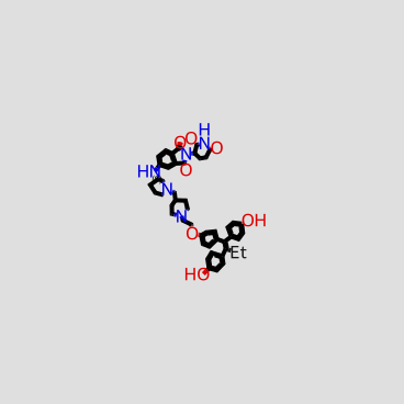 CCC(=C(c1ccc(O)cc1)c1ccc(OCCN2CCC(CN3CCC[C@H](Nc4ccc5c(c4)C(=O)N(C4CCC(=O)NC4=O)C5=O)C3)CC2)cc1)c1ccc(O)cc1